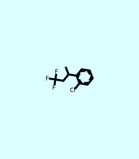 CC(CC(F)(F)F)c1ccccc1Cl